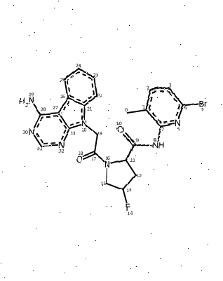 Cc1ccc(Br)nc1NC(=O)C1CC(F)CN1C(=O)Cn1c2ccccc2c2c(N)ncnc21